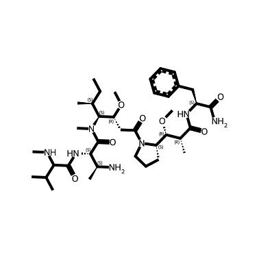 CC[C@H](C)[C@@H]([C@@H](CC(=O)N1CCC[C@H]1[C@H](OC)[C@@H](C)C(=O)N[C@@H](Cc1ccccc1)C(N)=O)OC)N(C)C(=O)[C@@H](NC(=O)C(NC)C(C)C)[C@H](C)N